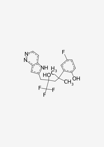 CC(C)(CC(O)(Cc1cc2nnccc2[nH]1)C(F)(F)F)c1cc(F)ccc1O